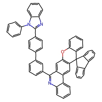 c1ccc(-n2c(-c3ccc(-c4cccc(-c5nc6ccccc6c6cc7c(cc56)Oc5ccccc5C75c6ccccc6-c6ccccc65)c4)cc3)nc3ccccc32)cc1